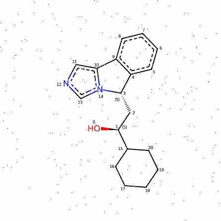 O[C@@H](C[C@H]1c2ccccc2-c2cncn21)C1CCCCC1